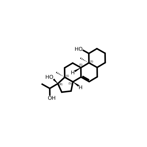 CC(O)[C@@]1(O)CC[C@H]2C3=CCC4CCCC(O)[C@]4(C)[C@H]3CC[C@@]21C